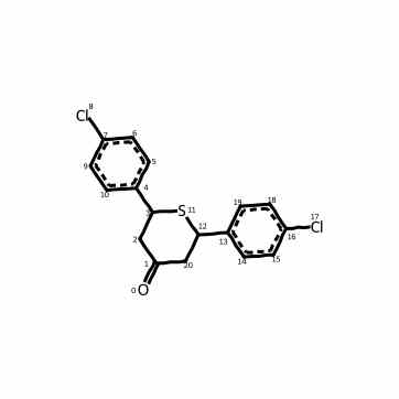 O=C1CC(c2ccc(Cl)cc2)SC(c2ccc(Cl)cc2)C1